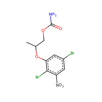 CC(COC(N)=O)Oc1cc(Br)cc([N+](=O)[O-])c1Br